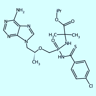 CC(C)OC(=O)C(C)(C)NP(=O)(CO[C@H](C)Cn1cnc2c(N)ncnc21)NC(=S)c1ccc(Cl)cc1